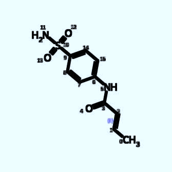 C/C=C/C(=O)Nc1ccc(S(N)(=O)=O)cc1